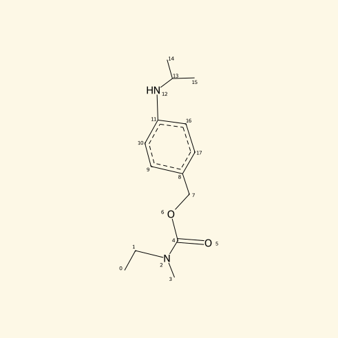 CCN(C)C(=O)OCc1ccc(NC(C)C)cc1